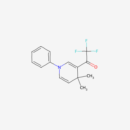 CC1(C)C=CN(c2ccccc2)C=C1C(=O)C(F)(F)F